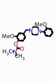 COc1cc(CN2CCN(c3ccccc3OC)CC2)ccc1OC(=O)N(C)C